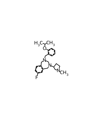 CC(C)Oc1ccccc1CN1Cc2ccc(F)cc2CN(C2CCN(C)C2)C1